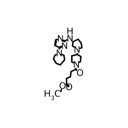 CCOC(=O)CCCC(=O)N1CCC(N2CCCC(Nc3nccc(N4CCCCCC4)n3)C2)CC1